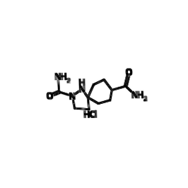 Cl.NC(=O)C1CCC2(CC1)CCN(C(N)=O)N2